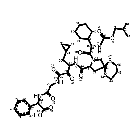 CC(C)COC(=O)N[C@H](C(=O)N1CC2(CC1C(=O)NC(CC1CC1)C(=O)C(=O)NCC(=O)NC(C(=O)O)c1ccccc1)SCCCS2)C1CCCCC1